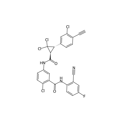 C#Cc1ccc([C@@H]2[C@@H](C(=O)Nc3ccc(Cl)c(C(=O)Nc4ccc(F)cc4C#N)c3)C2(Cl)Cl)cc1Cl